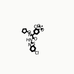 CS(=O)(=O)c1ccc(C(=NOC2CCCC2)C(=O)Nc2nc3ccc(Cl)cc3s2)cc1Cl